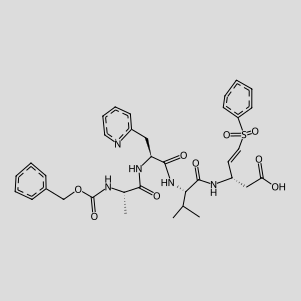 CC(C)[C@H](NC(=O)[C@H](Cc1ccccn1)NC(=O)[C@H](C)NC(=O)OCc1ccccc1)C(=O)N[C@H](/C=C/S(=O)(=O)c1ccccc1)CC(=O)O